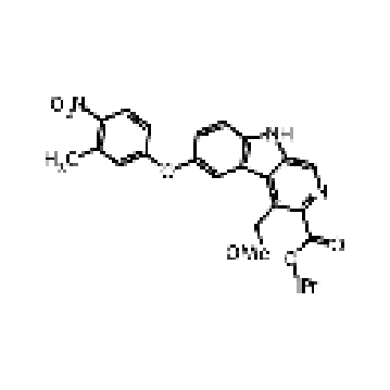 COCc1c(C(=O)OC(C)C)ncc2[nH]c3ccc(Oc4ccc([N+](=O)[O-])c(C)c4)cc3c12